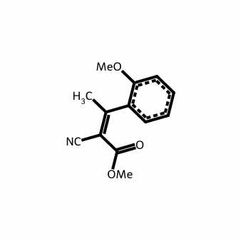 COC(=O)C(C#N)=C(C)c1ccccc1OC